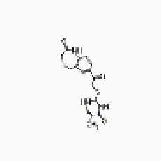 CC1=CNC(SCC(=O)c2ccc3c(c2)CCCC(=O)N3)NC1=O